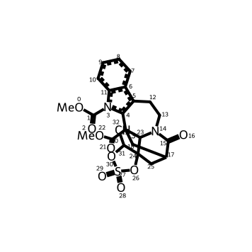 COC(=O)n1c2c(c3ccccc31)CCN1C(=O)C3CC2(C(=O)OC)C1C1(C3)OS(=O)(=O)OC1C